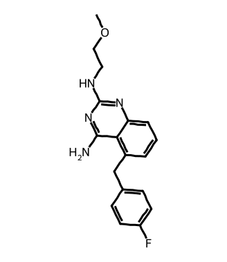 COCCNc1nc(N)c2c(Cc3ccc(F)cc3)cccc2n1